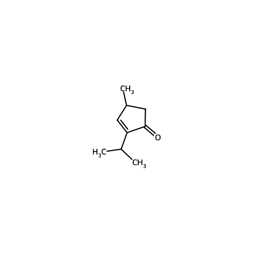 CC1C=C(C(C)C)C(=O)C1